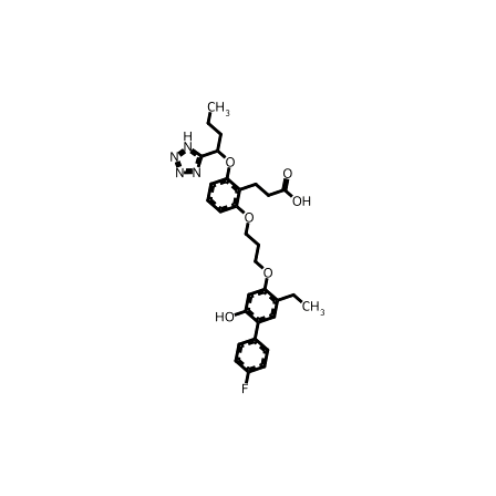 CCCC(Oc1cccc(OCCCOc2cc(O)c(-c3ccc(F)cc3)cc2CC)c1CCC(=O)O)c1nnn[nH]1